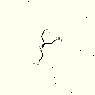 CC/N=C(\CC)CN